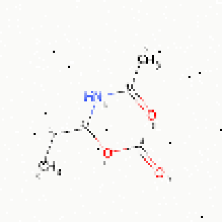 CCC(NC(C)=O)OC=O